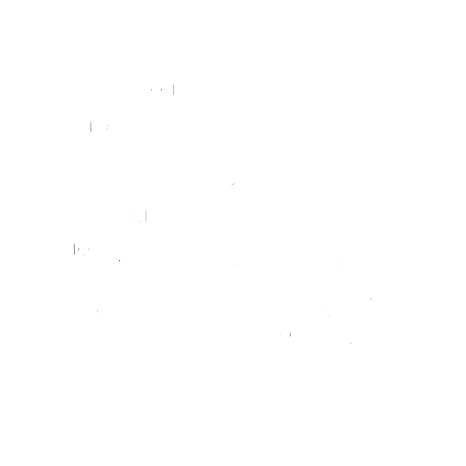 CCC(C)(C(=O)OC1CC2CC1C(CC(O)(C(F)(F)F)C(F)(F)F)C2CC(O)(C(F)(F)F)C(F)(F)F)C(F)(F)F